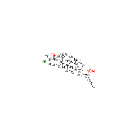 CC#C[C@@H](O)C[C@H]1CC[C@H]2[C@@H]3CC[C@@H]4C[C@@](O)(C(F)(F)F)CC[C@@H]4[C@H]3CC[C@]12C